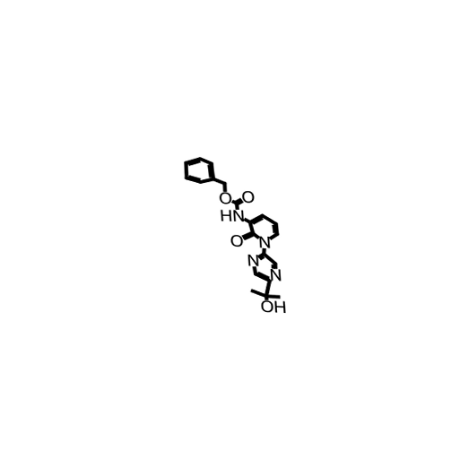 CC(C)(O)c1cnc(-n2cccc(NC(=O)OCc3ccccc3)c2=O)cn1